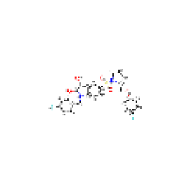 O=C1C(=O)N(Cc2ccc(F)cc2)c2ccc(S(=O)(=O)N3CCC[C@H]3COc3ccc(F)cc3)cc21